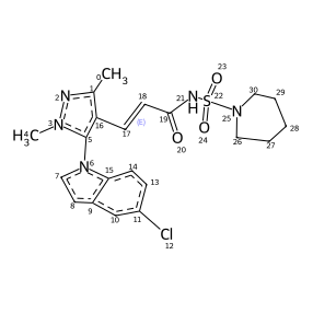 Cc1nn(C)c(-n2ccc3cc(Cl)ccc32)c1/C=C/C(=O)NS(=O)(=O)N1CCCCC1